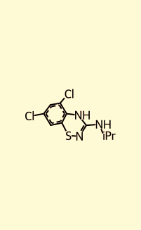 CC(C)NC1=NSc2cc(Cl)cc(Cl)c2N1